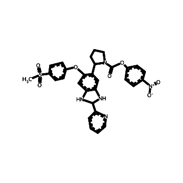 CS(=O)(=O)c1ccc(Oc2cc3c(cc2C2CCCN2C(=O)Oc2ccc([N+](=O)[O-])cc2)NC(c2ccccn2)N3)cc1